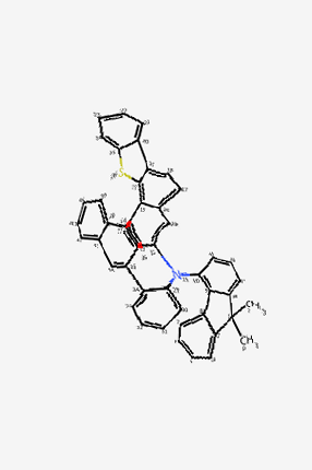 CC1(C)c2ccccc2-c2c(N(c3ccc4c(ccc5c6ccccc6sc45)c3)c3ccccc3-c3ccc4ccccc4c3)cccc21